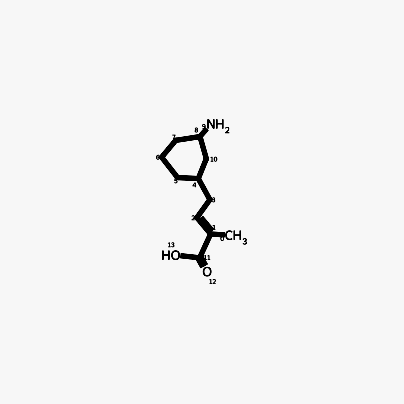 C/C(=C\CC1CCCC(N)C1)C(=O)O